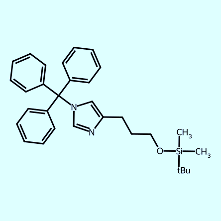 CC(C)(C)[Si](C)(C)OCCCc1cn(C(c2ccccc2)(c2ccccc2)c2ccccc2)cn1